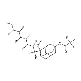 COC1(C(C)(F)C(F)C(F)C(F)C(F)C(F)C(F)CF)C2CC3CC1CC(OC(=O)C(C)(F)F)(C3)C2